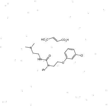 CC(C)N(CCOc1cccc(Cl)c1)C(=O)NCCN(C)C.O=C(O)C=CC(=O)O